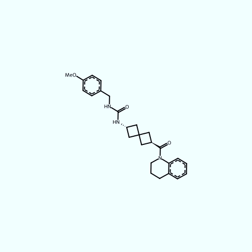 COc1ccc(CNC(=O)N[C@H]2CC3(C2)C[C@H](C(=O)N2CCCc4ccccc42)C3)cc1